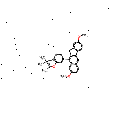 COc1ccc2c(c1)Cc1c-2cc2ccc(OC)cc2c1-c1cccc(O[SiH](C)C(C)(C)C)c1